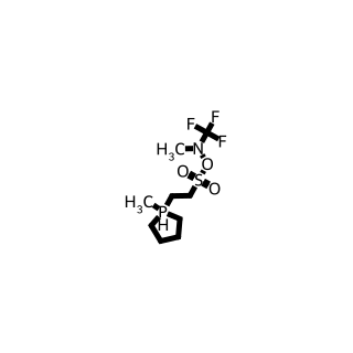 CN(OS(=O)(=O)CC[PH]1(C)CCCC1)C(F)(F)F